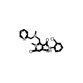 CN(Cc1ccccn1)Cc1c2c(=O)n(-c3ccccc3Cl)[nH]c2cc(=O)n1C